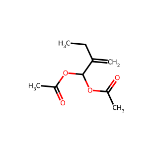 C=C(CC)C(OC(C)=O)OC(C)=O